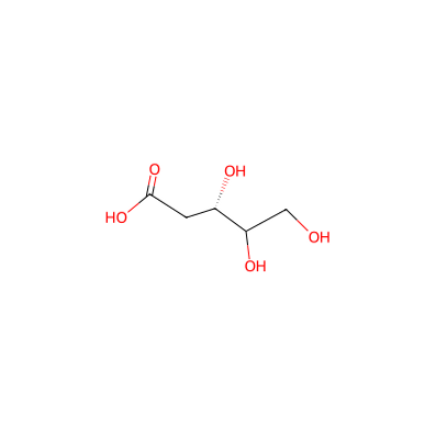 O=C(O)C[C@H](O)C(O)CO